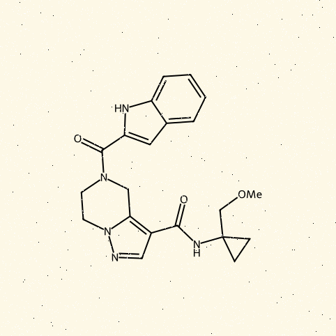 COCC1(NC(=O)c2cnn3c2CN(C(=O)c2cc4ccccc4[nH]2)CC3)CC1